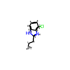 CC(C)CCc1nc2c(Cl)cccc2[nH]1